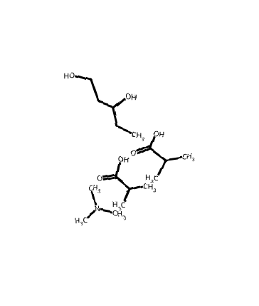 CC(C)C(=O)O.CC(C)C(=O)O.CCC(O)CCO.CN(C)C